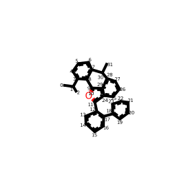 CC(C)c1cccc2c1-c1oc(-c3ccccc3-c3ccccc3)c3cccc(c13)C2C